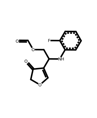 O=COCC(Nc1ccccc1F)C1=COCC1=O